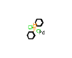 Cl[PH](Cl)(C1CCCCC1)C1CCCCC1.[Pd]